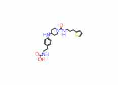 O=C(O)NCCc1ccc(NC2CCN(C(=O)NCCCc3cccs3)CC2)cc1